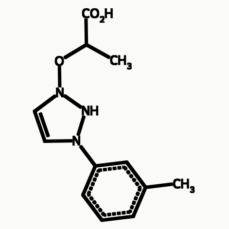 Cc1cccc(N2C=CN(OC(C)C(=O)O)N2)c1